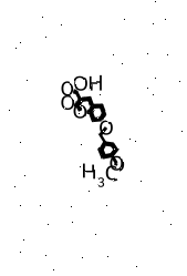 COc1ccc(COc2ccc3cc(C(=O)O)c(=O)oc3c2)cc1